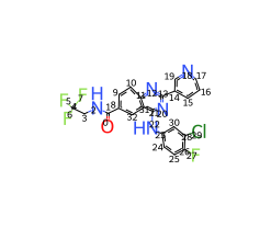 O=C(NCC(F)(F)F)c1ccc2nc(-c3cccnc3)nc(Nc3ccc(F)c(Cl)c3)c2c1